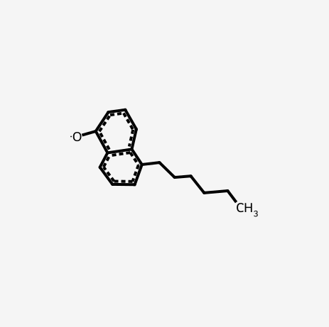 CCCCCCc1cccc2c([O])cccc12